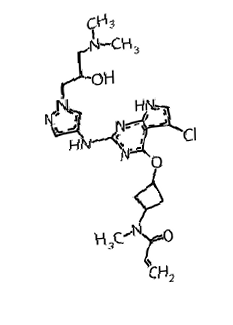 C=CC(=O)N(C)C1CC(Oc2nc(Nc3cnn(CC(O)CN(C)C)c3)nc3[nH]cc(Cl)c23)C1